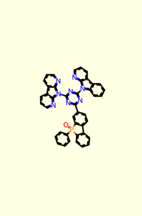 O=P1(c2ccccc2)c2ccccc2-c2ccc(-c3nc(-n4c5ccccc5c5cccnc54)nc(-n4c5ncccc5c5cccnc54)n3)cc21